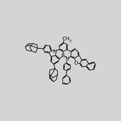 Cc1cc2c3c(c1)-n1c4ccc(C56CC7CC(CC(C7)C5)C6)cc4c4cc(C56CC7CC(CC(C7)C5)C6)cc(c41)B3N(c1ccc(-c3ccccc3)cc1)c1c-2ccc2c1oc1cc3ccccc3cc12